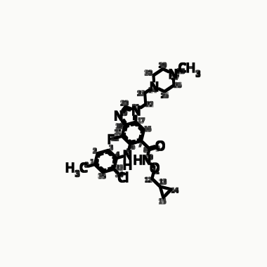 Cc1ccc(Nc2c(C(=O)NOCC3CC3)cc3c(ncn3CCN3CCN(C)CC3)c2F)c(Cl)c1